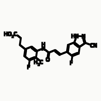 Cc1c(F)cc(CCC(=O)O)cc1NC(=O)C=Cc1cc2[nH]nc(C#N)c2cc1F